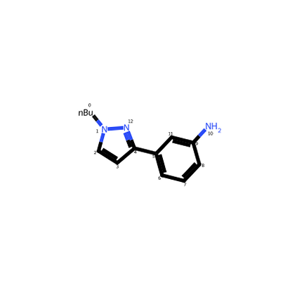 CCCCn1ccc(-c2cccc(N)c2)n1